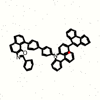 c1ccc(-c2nc3ccc4cccc(-c5ccc(-c6ccc(N(c7ccc(-c8cc9ccccc9c9ccccc89)cc7)c7ccccc7-c7ccccc7)cc6)cc5)c4c3o2)cc1